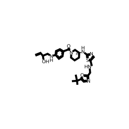 C=CC(O)CNc1ccc(C(=O)N2CCC[C@@H](Nc3ncc(CNCc4ncc(C(C)(C)C)o4)s3)C2)cc1